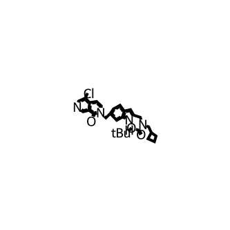 CC(C)(C)OC(=O)N(Cc1cc2ccc(Cn3ccc4c(Cl)cncc4c3=O)cc2[nH]1)CC1CCC1